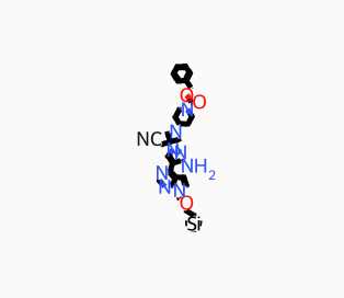 C[Si](C)(C)CCOCn1ccc2c(-c3cn(C4(CC#N)CN(C5CCN(C(=O)OCc6ccccc6)CC5)C4)nc3N)ncnc21